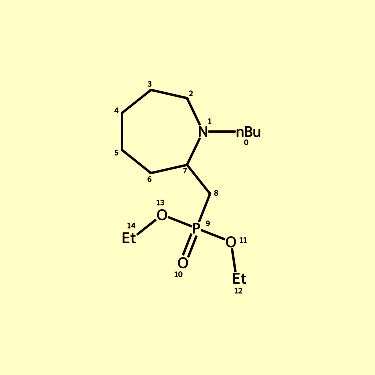 CCCCN1CCCCCC1CP(=O)(OCC)OCC